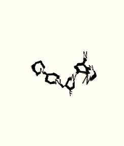 N#Cc1ccc(N2CC(F)[C@@H](CN3CCC(N4CCCCCC4)CC3)C2)c2nccnc12